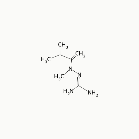 C=C(C(C)C)N(C)N=C(N)N